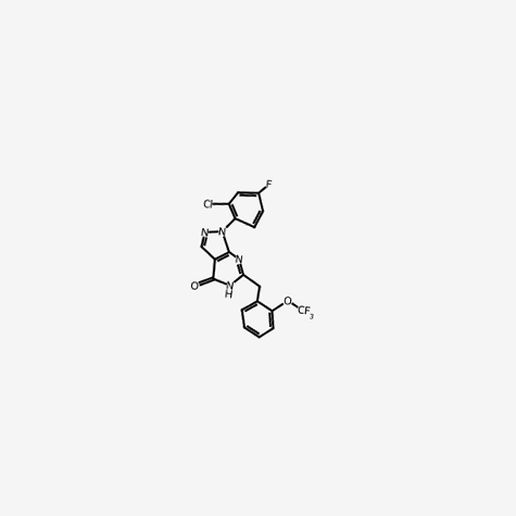 O=c1[nH]c(Cc2ccccc2OC(F)(F)F)nc2c1cnn2-c1ccc(F)cc1Cl